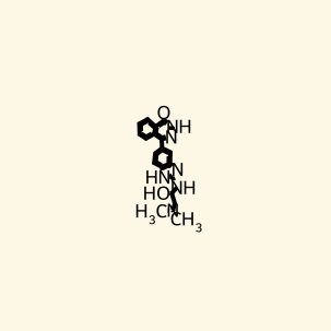 CN(C)CC(O)Nc1nc2cc(-c3n[nH]c(=O)c4ccccc34)ccc2[nH]1